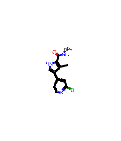 CCCNC(=O)c1[nH]cc(-c2ccnc(Cl)c2)c1C